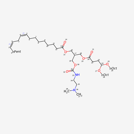 CCCCC/C=C\C/C=C\CCCCCCCC(=O)OCC(COC(=O)CCC(OCCCCCCCC)OCCCCCCCC)COC(=O)NCCN(C)C